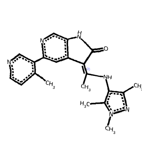 C/C(Nc1c(C)nn(C)c1C)=C1/C(=O)Nc2cnc(-c3cnccc3C)cc21